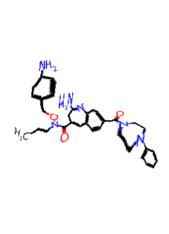 CCCN(OCc1ccc(N)cc1)C(=O)C1=Cc2ccc(C(=O)N3CCN(c4ccccc4)CC3)cc2N=C(N)C1